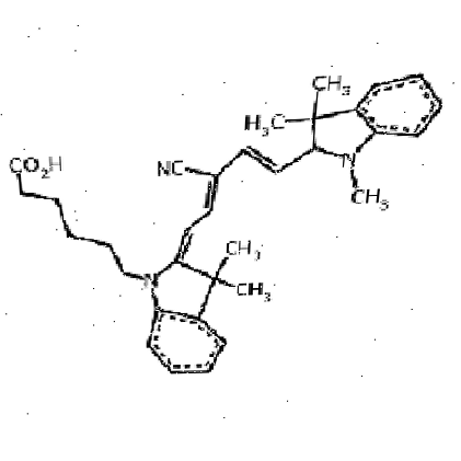 CN1c2ccccc2C(C)(C)C1C=CC(C#N)=CC=C1N(CCCCCC(=O)O)c2ccccc2C1(C)C